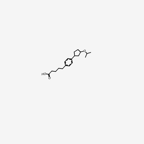 CC(C)OC1CCC(c2ccc(CCCCC(=O)O)cc2)C1